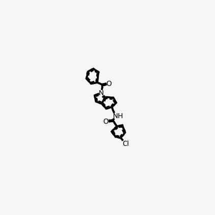 O=C(Nc1ccc2c(ccn2C(=O)c2ccccc2)c1)c1ccc(Cl)cc1